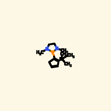 CN1CCN(C)P1C1=C([Si](C)(C)C)C=CC1